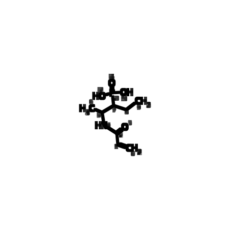 C=CC(=O)NC(C)C(CC)P(=O)(O)O